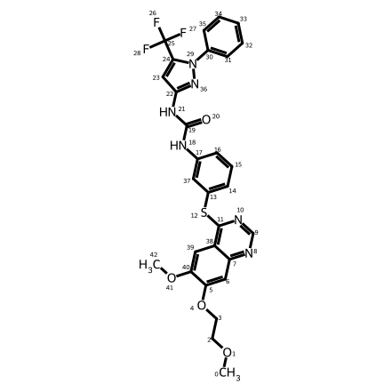 COCCOc1cc2ncnc(Sc3cccc(NC(=O)Nc4cc(C(F)(F)F)n(-c5ccccc5)n4)c3)c2cc1OC